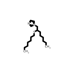 CCCCCCCSC(CCCCCC)Cn1ccnc1